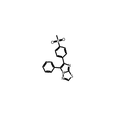 CS(=O)(=O)c1ccc(-c2nc3scnn3c2-c2ccccc2)cc1